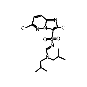 CC(C)CN(/C=N/S(=O)(=O)c1c(Cl)nc2ccc(Cl)nn12)CC(C)C